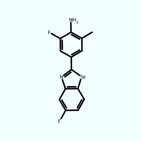 Cc1cc(-c2nc3cc(F)ccc3[se]2)cc(F)c1N